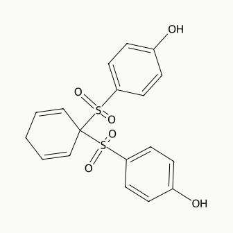 O=S(=O)(c1ccc(O)cc1)C1(S(=O)(=O)c2ccc(O)cc2)C=CCC=C1